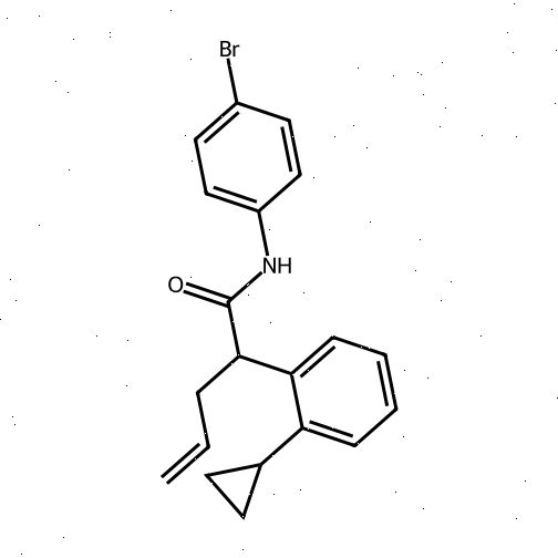 C=CCC(C(=O)Nc1ccc(Br)cc1)c1ccccc1C1CC1